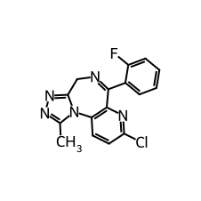 Cc1nnc2n1-c1ccc(Cl)nc1C(c1ccccc1F)=NC2